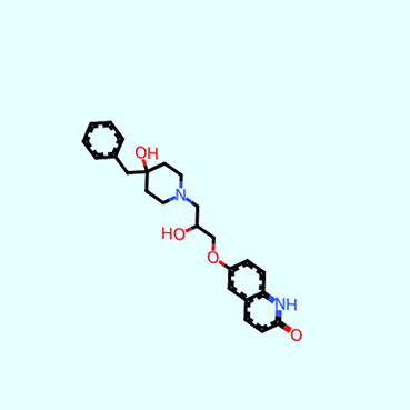 O=c1ccc2cc(OCC(O)CN3CCC(O)(Cc4ccccc4)CC3)ccc2[nH]1